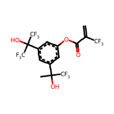 C=C(C(=O)Oc1cc(C(C)(O)C(F)(F)F)cc(C(O)(C(F)(F)F)C(F)(F)F)c1)C(F)(F)F